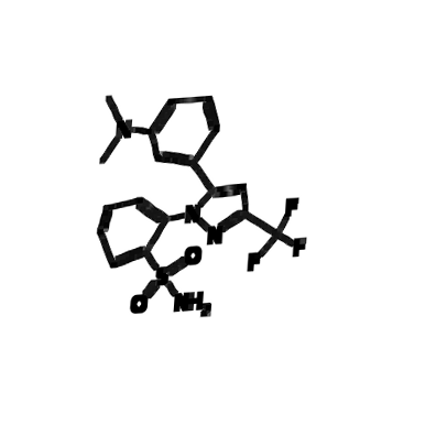 CN(C)c1cccc(-c2cc(C(F)(F)F)nn2-c2ccccc2S(N)(=O)=O)c1